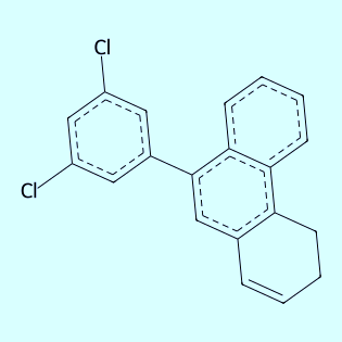 Clc1cc(Cl)cc(-c2cc3c(c4ccccc24)CCC=C3)c1